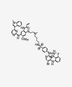 C=CC(=O)Nc1cc(Nc2nccc(-c3cn(C)c4ccccc34)n2)c(OC)cc1N(C)CCN(C)CCCCNS(=O)(=O)c1ccc(Nc2ncc(Br)c(Nc3cccc(F)c3C(N)=O)n2)cc1